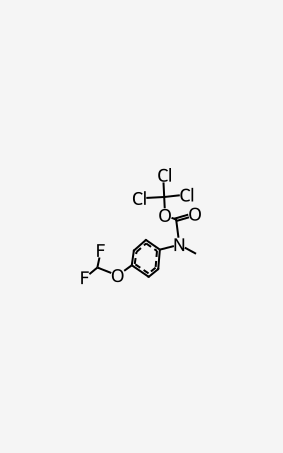 CN(C(=O)OC(Cl)(Cl)Cl)c1ccc(OC(F)F)cc1